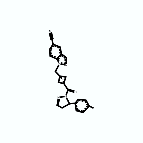 Cc1ccc(C2CC=NN2C(=O)C23CC(Cn4ncc5cc(C#N)ccc54)(C2)C3)cc1